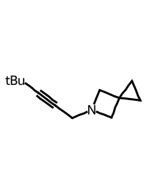 CC(C)(C)C#CCN1CC2(CC2)C1